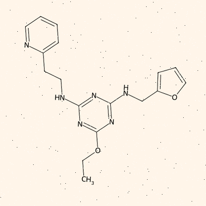 CCOc1nc(NCCc2ccccn2)nc(NCc2ccco2)n1